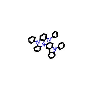 c1ccc(N2c3ccccc3N3c4cc5c6ccccc6n(-c6ccccc6)c5cc4N(c4ccccc4)c4cccc2c43)cc1